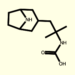 CC(C)(CC1CC2CCC(C1)N2)NC(=O)O